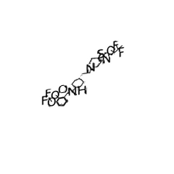 CC(F)(F)COc1nc2c(s1)CCN(CC[C@H]1CC[C@H](NC(=O)c3cccc4c3OC(F)(F)O4)CC1)C2